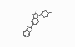 Cc1nc2cc(-c3nc4ccccc4o3)ccc2n1C1CCC(C)CC1